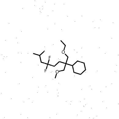 CCOCC(CCC(F)(F)CC(C)C)(COC)C1CCCCC1